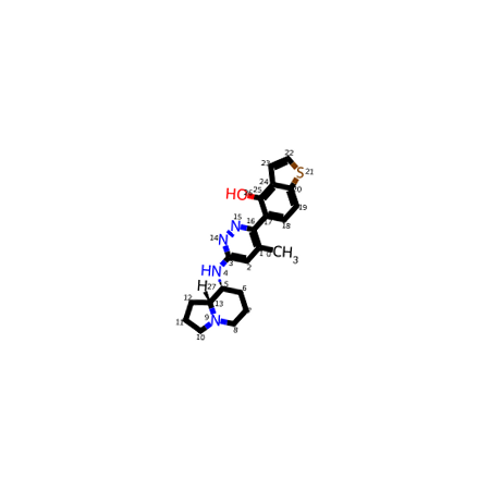 Cc1cc(N[C@@H]2CCCN3CCC[C@H]23)nnc1-c1ccc2sccc2c1O